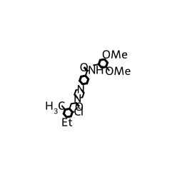 CCc1cc(C)c(CC(=O)N2CCN(c3ccc(C(=O)NCc4cc(OC)cc(OC)c4)cc3)CC2)c(Cl)c1